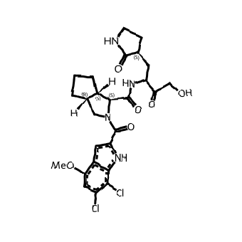 COc1cc(Cl)c(Cl)c2[nH]c(C(=O)N3C[C@@H]4CCC[C@@H]4[C@H]3C(=O)NC(C[C@@H]3CCNC3=O)C(=O)CO)cc12